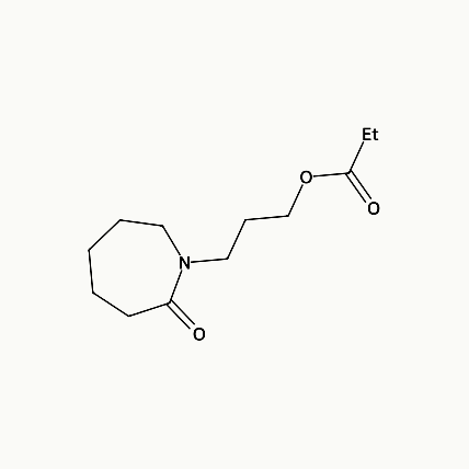 CCC(=O)OCCCN1CCCCCC1=O